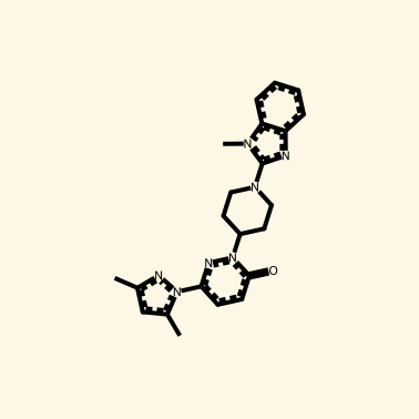 Cc1cc(C)n(-c2ccc(=O)n(C3CCN(c4nc5ccccc5n4C)CC3)n2)n1